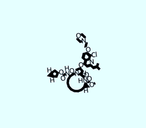 COC(=O)[C@@]12C[C@H]1CCCCCCC[C@H](NC(=O)O[C@@H]1C[C@@H]3C[C@@H]3C1)C(=O)N1C[C@H](Oc3cc(C=C(C)C)nc4c(Cl)c(OCCN5CCOCC5)ccc34)C[C@H]1C(=O)N2